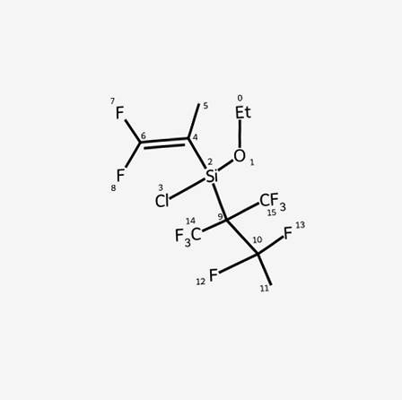 CCO[Si](Cl)(C(C)=C(F)F)C(C(C)(F)F)(C(F)(F)F)C(F)(F)F